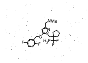 CNCc1cc(OCc2cc(F)ccc2F)n(CC2(C(F)(F)P)CCCC2)n1